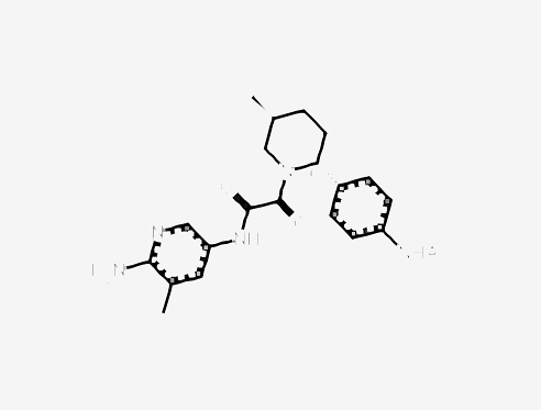 CC(=O)Nc1ccc([C@H]2CC[C@H](C)CN2C(=O)C(=O)Nc2cnc(N)c(C)c2)cc1